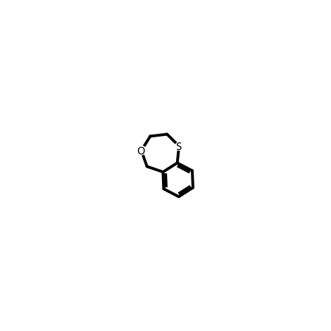 c1ccc2c(c1)COCCS2